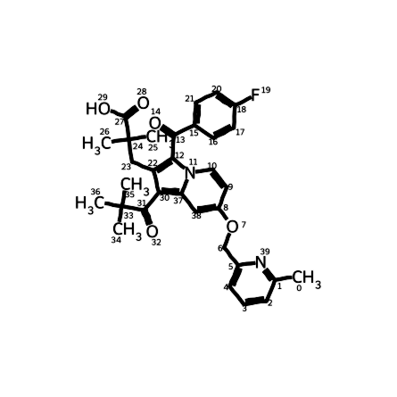 Cc1cccc(COc2ccn3c(C(=O)c4ccc(F)cc4)c(CC(C)(C)C(=O)O)c(C(=O)C(C)(C)C)c3c2)n1